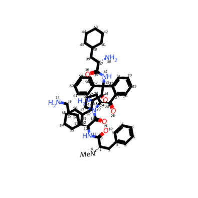 CN[C@@H](Cc1ccccc1)C(=O)N[C@@H](CCCCN)C(=O)N1CCC[C@H]1C(=O)c1ccccc1C(NC(=O)[C@@H](N)CC1CCCCC1)(C(=O)[C@H](N)CC1CCCCC1)c1ccccc1